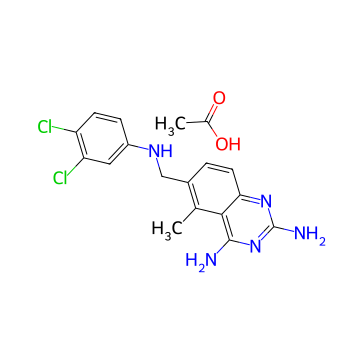 CC(=O)O.Cc1c(CNc2ccc(Cl)c(Cl)c2)ccc2nc(N)nc(N)c12